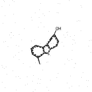 Cc1cccc2c1sc1ccc(O)cc12